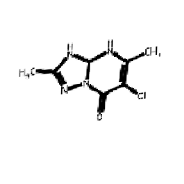 CC1=NN2C(=O)C(Cl)=C(C)NC2N1